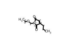 CCCC1=CC(=O)N(COCC)C1=O